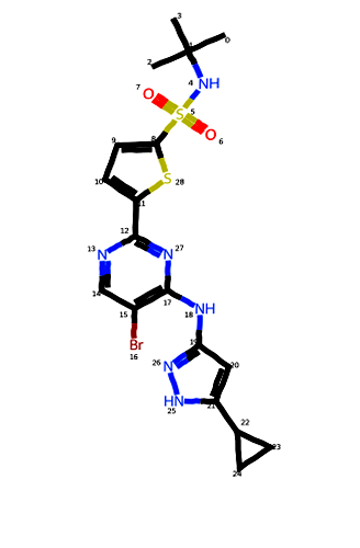 CC(C)(C)NS(=O)(=O)c1ccc(-c2ncc(Br)c(Nc3cc(C4CC4)[nH]n3)n2)s1